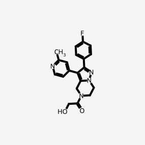 Cc1cc(-c2c(-c3ccc(F)cc3)nn3c2CN(C(=O)CO)CC3)ccn1